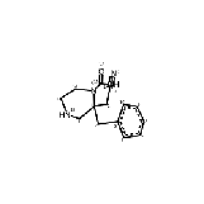 N#CCC1(Cc2ccccc2)CNCCN1C(=O)O